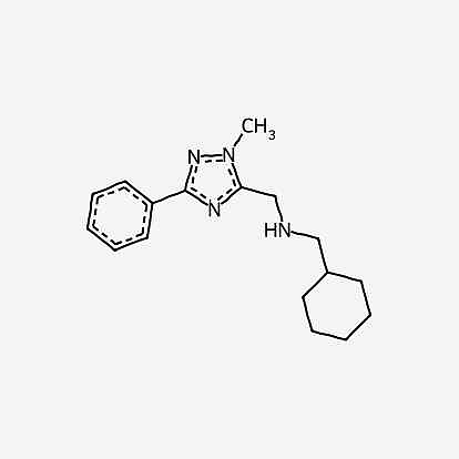 Cn1nc(-c2ccccc2)nc1CNCC1CCCCC1